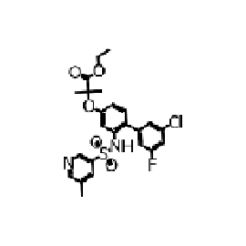 CCOC(=O)C(C)(C)Oc1ccc(-c2cc(F)cc(Cl)c2)c(NS(=O)(=O)c2cncc(C)c2)c1